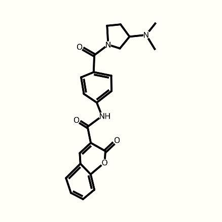 CN(C)C1CCN(C(=O)c2ccc(NC(=O)c3cc4ccccc4oc3=O)cc2)C1